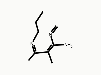 C=N/C(N)=C(C)\C(C)=N/CCC